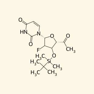 CC(=O)[C@H]1O[C@@H](n2ccc(=O)[nH]c2=O)C(F)C1O[Si](C)(C)C(C)(C)C